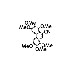 COc1cc2c(cc(C#N)c3c(OC)c(OC)c(OC)cc32)c(OC)c1OC